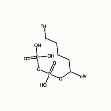 [2H]CCCCC(CCC)OP(=O)(O)OP(=O)(O)O